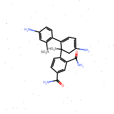 NC(=O)c1ccc(C2(S(=O)(=O)O)CC(N)=CC=C2c2ccc(N)cc2S(=O)(=O)O)c(C(N)=O)c1